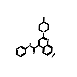 CC.CC1CCN(c2cc(C(=O)Nc3ccccc3)c3ccccc3n2)CC1